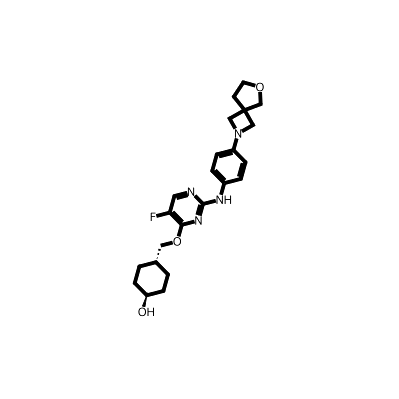 O[C@H]1CC[C@H](COc2nc(Nc3ccc(N4CC5(CCOC5)C4)cc3)ncc2F)CC1